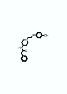 O=C(Cc1ccccc1)NC1CCN(CCOc2ccc(O)cc2)CC1